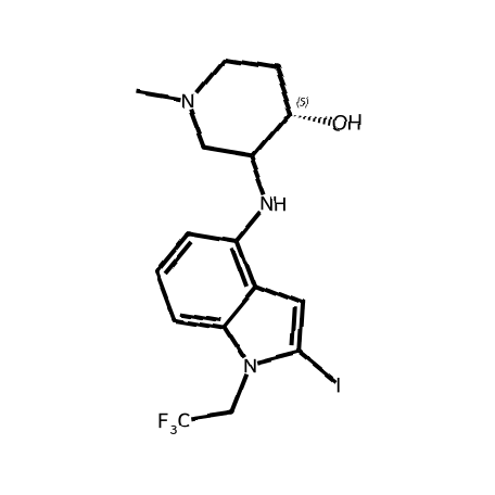 CN1CC[C@H](O)C(Nc2cccc3c2cc(I)n3CC(F)(F)F)C1